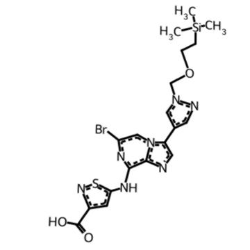 C[Si](C)(C)CCOCn1cc(-c2cnc3c(Nc4cc(C(=O)O)ns4)nc(Br)cn23)cn1